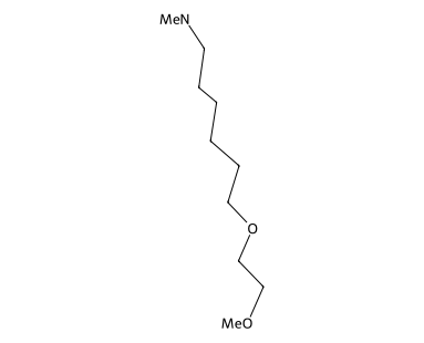 CNCCCCCCOCCOC